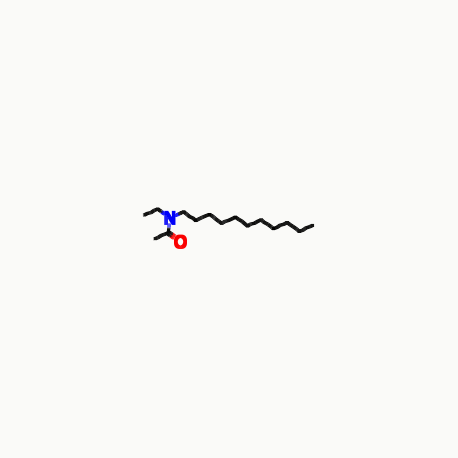 CCCCCCCCCCCN(CC)C(C)=O